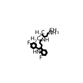 C=CC(CCNC)NC(=C)CCc1c(-c2ccc(F)cc2)[nH]c2c(F)cccc12